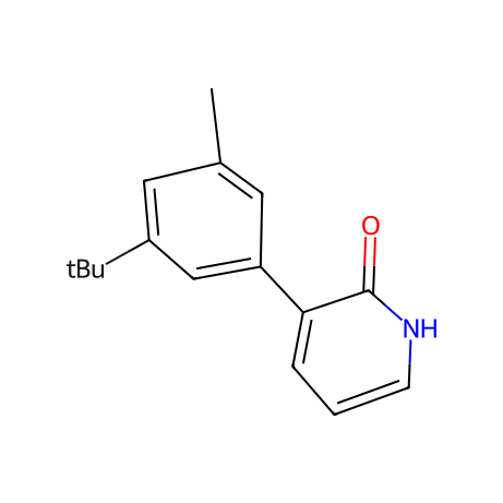 Cc1cc(-c2ccc[nH]c2=O)cc(C(C)(C)C)c1